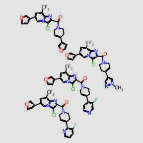 Cn1cc(C2=CCN(C(=O)c3nc4c(C(F)(F)F)cc(-c5ccoc5)cn4c3Cl)CC2)cn1.O=C(c1nc2c(C(F)(F)F)cc(-c3ccoc3)cn2c1Cl)N1CC=C(c2ccncc2F)CC1.O=C(c1nc2c(C(F)(F)F)cc(-c3ccoc3)cn2c1Cl)N1CC=C(c2ccoc2)CC1.O=C(c1nc2c(C(F)(F)F)cc(-c3ccoc3)cn2c1Cl)N1CC=C(c2ncccc2F)CC1